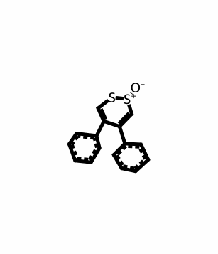 [O-][S+]1C=C(c2ccccc2)C(c2ccccc2)=CS1